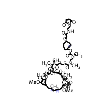 COc1cc2cc(c1Cl)N(C)C(=O)C[C@H](OC(=O)[C@H](C)N(C)C(=O)CCSC(=O)N(C)CCN(C)C(=O)OC1/C=C/CC(OCC(=O)NCCN3C(=O)C=CC3=O)CCC1)[C@]1(C)O[C@H]1[C@H](C)[C@@H]1C[C@@](O)(NC(=O)O1)[C@H](OC)/C=C/C=C(\C)C2